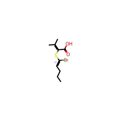 CCC/C=C(\Br)SC(C(=O)O)=C(C)C